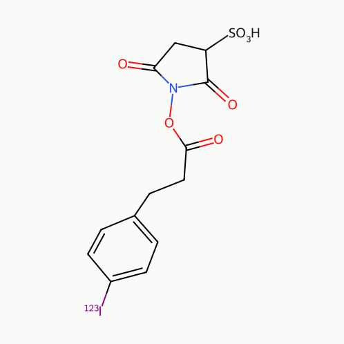 O=C(CCc1ccc([123I])cc1)ON1C(=O)CC(S(=O)(=O)O)C1=O